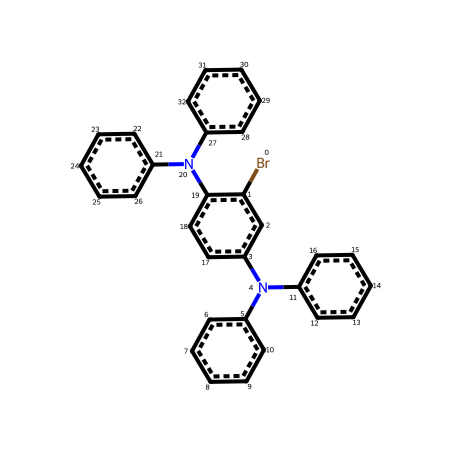 Brc1cc(N(c2ccccc2)c2ccccc2)ccc1N(c1ccccc1)c1ccccc1